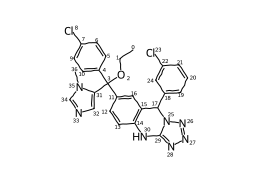 CCOC(c1ccc(Cl)cc1)(c1ccc2c(c1)C(c1cccc(Cl)c1)n1nnnc1N2)c1cncn1C